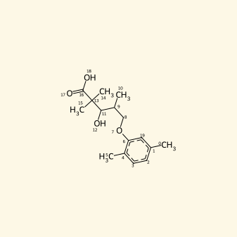 Cc1ccc(C)c(OCC(C)C(O)C(C)(C)C(=O)O)c1